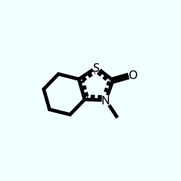 Cn1c2c(sc1=O)CCCC2